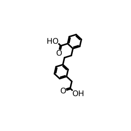 O=C(O)Cc1cccc(CCc2ccccc2C(=O)O)c1